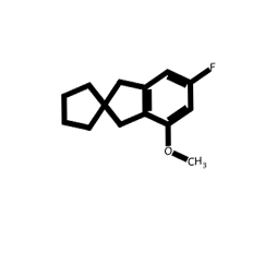 COc1cc(F)cc2c1CC1(CCCC1)C2